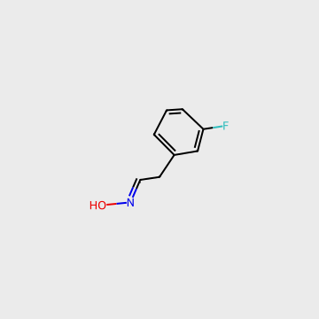 ON=[C]Cc1cccc(F)c1